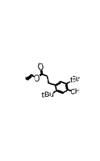 C=COC(=O)CCc1cc(C(C)(C)C)c(O)cc1C(C)(C)C